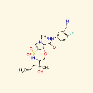 C=CCC(C)(O)C1COc2c(cn(C)c2C(=O)Nc2ccc(F)c(C#N)c2)S(=O)(=O)N1